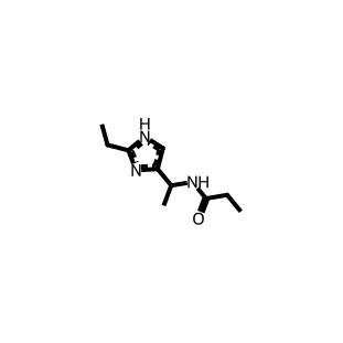 CCC(=O)NC(C)c1c[nH]c(CC)n1